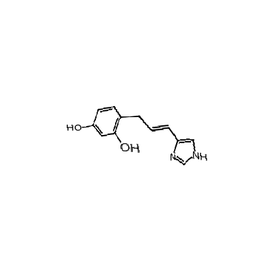 Oc1ccc(CC=Cc2c[nH]cn2)c(O)c1